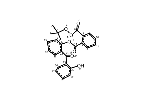 CC(C)(C)OOC(=O)c1ccccc1C(=O)Oc1ccccc1C(=O)c1ccccc1O